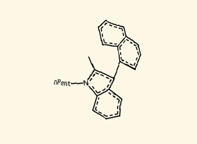 CCCCCn1c(C)c(-c2cccc3ccccc23)c2ccccc21